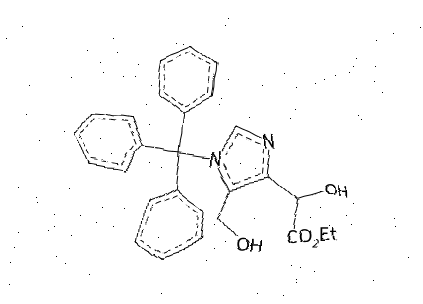 CCOC(=O)C(O)c1ncn(C(c2ccccc2)(c2ccccc2)c2ccccc2)c1CO